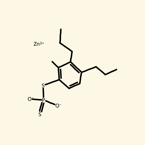 CCCc1ccc(SP([O-])([O-])=S)c(C)c1CCC.[Zn+2]